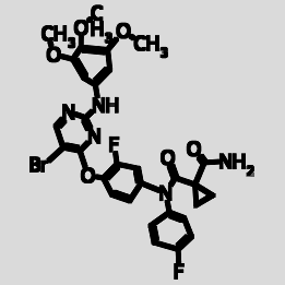 COc1cc(Nc2ncc(Br)c(Oc3ccc(N(C(=O)C4(C(N)=O)CC4)c4ccc(F)cc4)cc3F)n2)cc(OC)c1OC